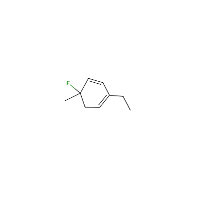 CCC1=CCC(C)(F)C=C1